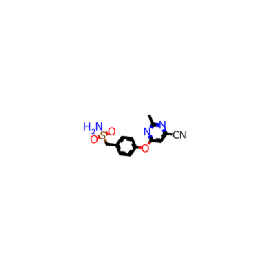 Cc1nc(C#N)cc(Oc2ccc(CS(N)(=O)=O)cc2)n1